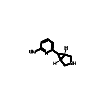 CC(C)(C)c1cccc(C2[C@H]3CNC[C@@H]23)n1